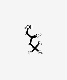 O=C(CO)CC(F)(F)F